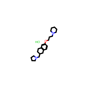 Cl.c1cc2c(cc1OCCCN1CCCCC1)CCC(CN1CCCC1)C2